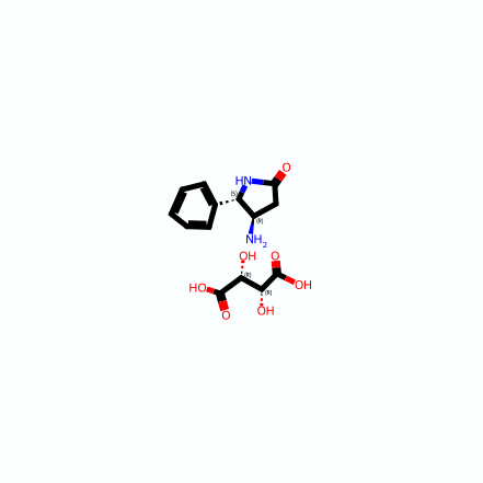 N[C@@H]1CC(=O)N[C@H]1c1ccccc1.O=C(O)[C@H](O)[C@@H](O)C(=O)O